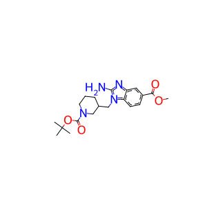 COC(=O)c1ccc2c(c1)nc(N)n2CC1CCCN(C(=O)OC(C)(C)C)C1